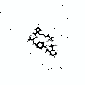 CS(=O)(=O)CCCCC1(C(=S)N[C@@H](Cc2ccc(NC(=O)c3cncnc3C(F)(F)F)cc2)C(=O)O)CCC1